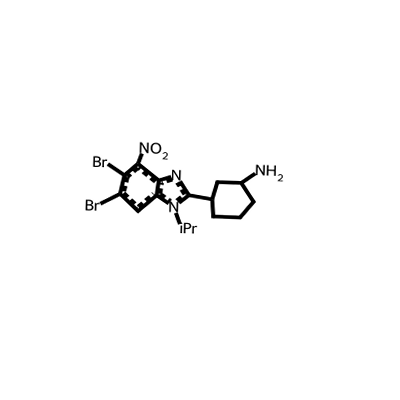 CC(C)n1c(C2CCCC(N)C2)nc2c([N+](=O)[O-])c(Br)c(Br)cc21